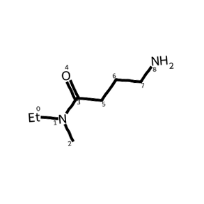 CCN(C)C(=O)CCCN